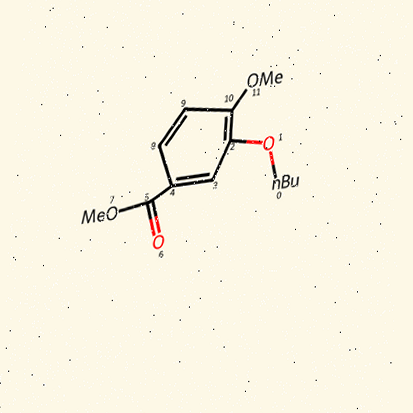 CCCCOc1cc(C(=O)OC)ccc1OC